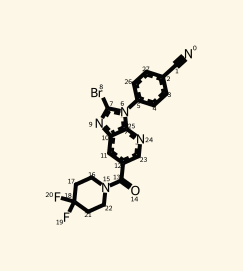 N#Cc1ccc(-n2c(Br)nc3cc(C(=O)N4CCC(F)(F)CC4)cnc32)cc1